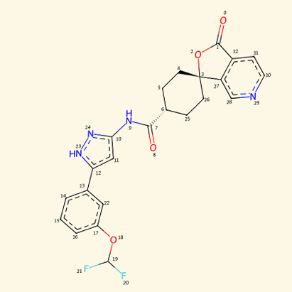 O=C1O[C@]2(CC[C@@H](C(=O)Nc3cc(-c4cccc(OC(F)F)c4)[nH]n3)CC2)c2cnccc21